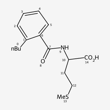 CCCCc1ccccc1C(=O)NC(CCSC)C(=O)O